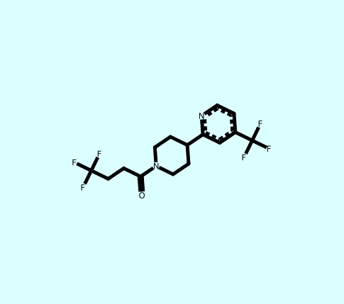 O=C(CCC(F)(F)F)N1CCC(c2cc(C(F)(F)F)ccn2)CC1